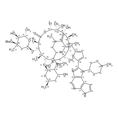 CC[C@H]1OC(=O)[C@H](C)[C@@H](O[C@H]2C[C@@](C)(OC)[C@@H](O)[C@H](C)O2)[C@H](C)[C@@H](O[C@@H]2O[C@H](C)CC(O)C2N(C)CCCN(C)C(=O)/C(C#N)=C/c2ccc(-c3nc4cnc5[nH]ccc5c4n3C3CCN(C)CC3)o2)[C@](C)(O)C[C@@H](C)CN(C)[C@H](C)[C@@H](O)[C@]1(C)O